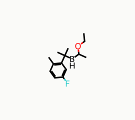 CCOC(C)BC(C)(C)c1cc(F)ccc1C